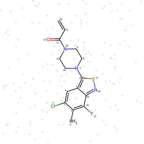 Bc1c(Cl)cc2c(N3CCN(C(=O)C=C)CC3)snc2c1F